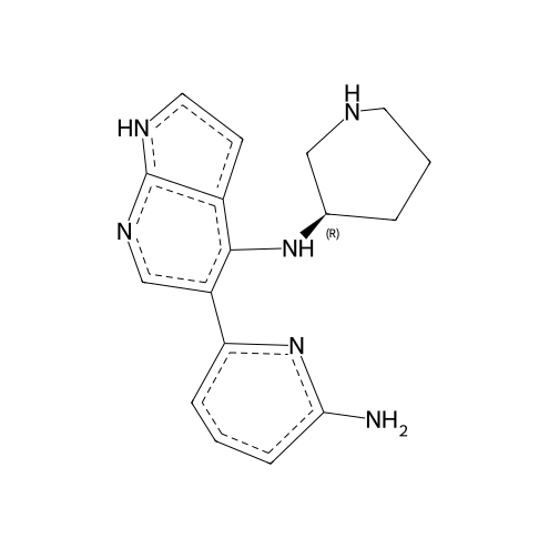 Nc1cccc(-c2cnc3[nH]ccc3c2N[C@@H]2CCCNC2)n1